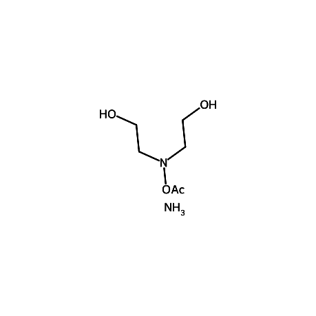 CC(=O)ON(CCO)CCO.N